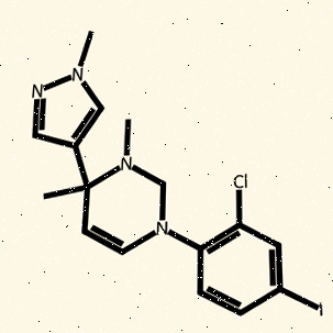 CN1CN(c2ccc(I)cc2Cl)C=CC1(C)c1cnn(C)c1